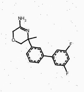 CC1(c2cccc(-c3cc(F)cc(F)c3)c2)COCC(N)=N1